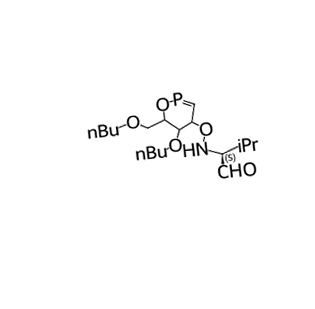 CCCCOCC1OP=CC(ON[C@H](C=O)C(C)C)C1OCCCC